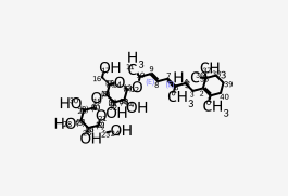 CC1=C(CC/C(C)=C/C=C/C(C)O[C@H]2O[C@H](CO)[C@@H](O[C@@H]3O[C@H](CO)[C@@H](O)[C@H](O)[C@H]3O)[C@H](O)[C@H]2O)C(C)(C)CCC1